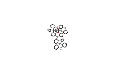 c1ccc2c(c1)Oc1ccccc1C21c2ccccc2-c2c(N(c3ccc4c(c3)C3(c5ccccc5Sc5ccccc53)c3ccccc3-4)c3cccc4c3-c3ccccc3C43c4ccccc4Oc4ccccc43)cccc21